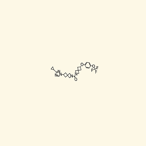 O=C(N1CC2(CC(Oc3ccc(OC(F)(F)F)cc3)C2)C1)N1CC2(CC(n3cnc(C4CC4)n3)C2)C1